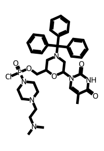 Cc1cn(C2CN(C(c3ccccc3)(c3ccccc3)c3ccccc3)CC(COP(=O)(Cl)N3CCN(CCN(C)C)CC3)O2)c(=O)[nH]c1=O